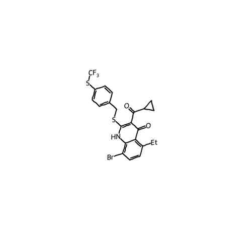 CCc1ccc(Br)c2[nH]c(SCc3ccc(SC(F)(F)F)cc3)c(C(=O)C3CC3)c(=O)c12